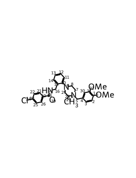 COc1ccc(CN2CCN(c3ccccc3CNC(=O)c3ccc(Cl)cc3)CC2C)cc1OC